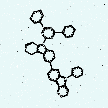 C1=Cc2c(c3cc(-c4ccc5c6ncccc6n(-c6ccccc6)c5c4)ccc3n2-c2nc(-c3ccccc3)nc(-c3ccccc3)n2)CC1